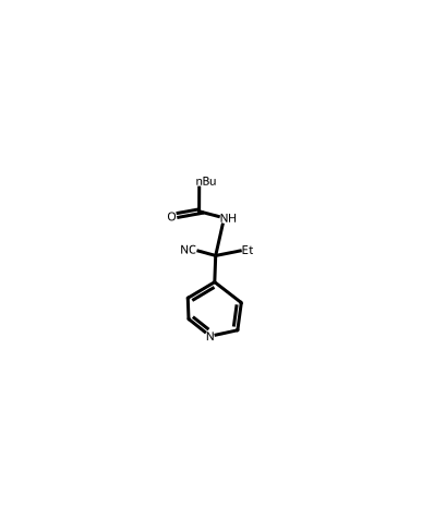 CCCCC(=O)NC(C#N)(CC)c1ccncc1